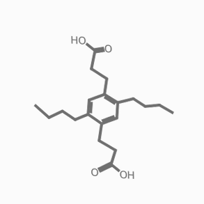 CCCCc1cc(CCC(=O)O)c(CCCC)cc1CCC(=O)O